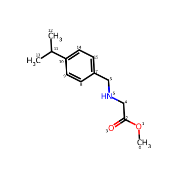 COC(=O)CNCc1ccc(C(C)C)cc1